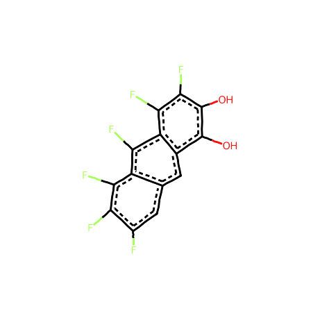 Oc1c(F)c(F)c2c(F)c3c(F)c(F)c(F)cc3cc2c1O